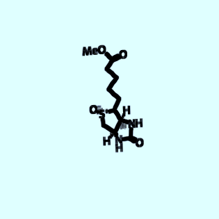 COC(=O)CCCCC1[C@H]2NC(=O)N[C@H]2C[S@+]1[O-]